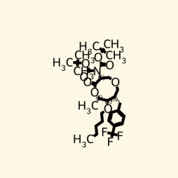 CCCCCO[C@@H]1[C@@H](Cc2ccc(C(F)(F)F)cc2)COC[C@H](N(C(=O)OC(C)(C)C)C(=O)OC(C)(C)C)C(=O)O[C@H]1C